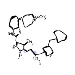 C=c1c(-c2nc3c(N4CCN(C)CC4)cccc3[nH]2)n[nH]/c1=C/C=C(\C)c1cncc(CC2CCCCC2)c1